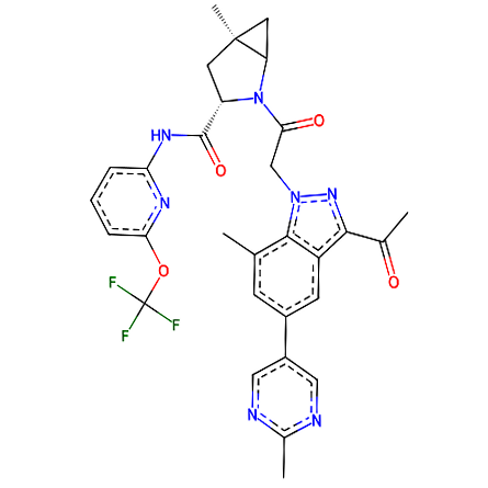 CC(=O)c1nn(CC(=O)N2C3C[C@]3(C)C[C@H]2C(=O)Nc2cccc(OC(F)(F)F)n2)c2c(C)cc(-c3cnc(C)nc3)cc12